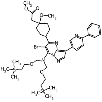 COC(=O)CC1(OC)CCC(c2nc3c(-c4ccc(-c5ccccc5)nc4)cnn3c(N(COCC[Si](C)(C)C)COCC[Si](C)(C)C)c2Br)CC1